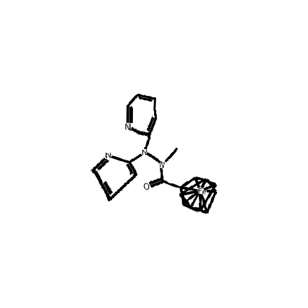 CN(C(=O)[C]12[CH]3[CH]4[CH]5[CH]1[Fe]45321678[CH]2[CH]1[CH]6[CH]7[CH]28)N(c1ccccn1)c1ccccn1